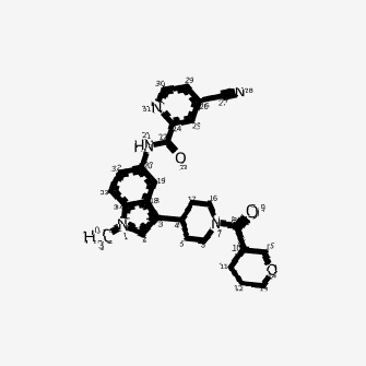 Cn1cc(C2CCN(C(=O)C3CCCOC3)CC2)c2cc(NC(=O)c3cc(C#N)ccn3)ccc21